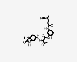 CC(=O)/C(=N/Nc1ccc2[nH]c(=O)[nH]c2c1)C(=O)Nc1cccc(NC(=O)CCC(C)C#N)c1